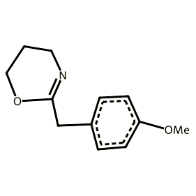 COc1ccc(CC2=NCCCO2)cc1